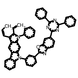 C=Cc1c(/C=C\C)c2cc3c4ccccc4n(-c4cccc(-c5nc6ccc(-c7nc(-c8ccccc8)nc(-c8ccccc8)n7)cc6o5)c4)c3cc2n1-c1ccccc1